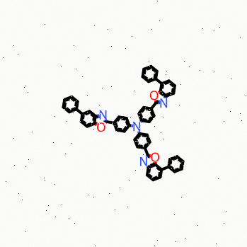 c1ccc(-c2ccc3oc(-c4ccc(N(c5ccc(-c6nc7cccc(-c8ccccc8)c7o6)cc5)c5ccc(-c6nc7cccc(-c8ccccc8)c7o6)cc5)cc4)nc3c2)cc1